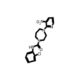 O=C(Nc1ccccc1Cl)N1CCCN(c2ncccc2[N+](=O)[O-])CC1